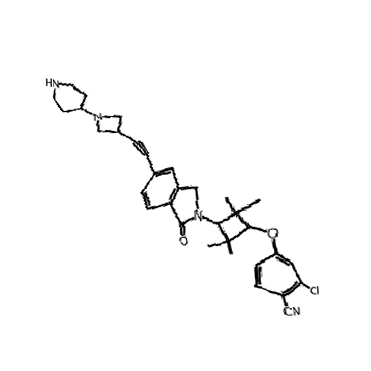 CC1(C)C(Oc2ccc(C#N)c(Cl)c2)C(C)(C)C1N1Cc2cc(C#CC3CN(C4CCNCC4)C3)ccc2C1=O